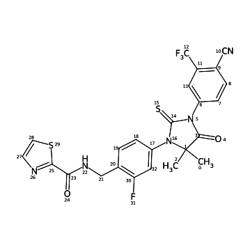 CC1(C)C(=O)N(c2ccc(C#N)c(C(F)(F)F)c2)C(=S)N1c1ccc(CNC(=O)c2nccs2)c(F)c1